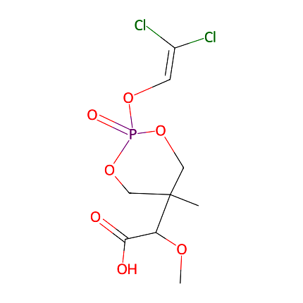 COC(C(=O)O)C1(C)COP(=O)(OC=C(Cl)Cl)OC1